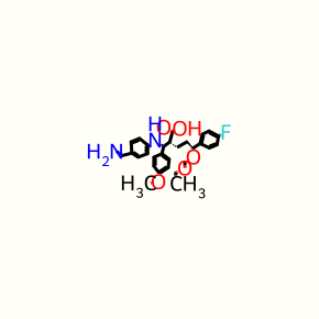 CCOCO[C@@H](CC[C@@H](C(=O)O)[C@H](Nc1ccc(CN)cc1)c1ccc(OC)cc1)c1ccc(F)cc1